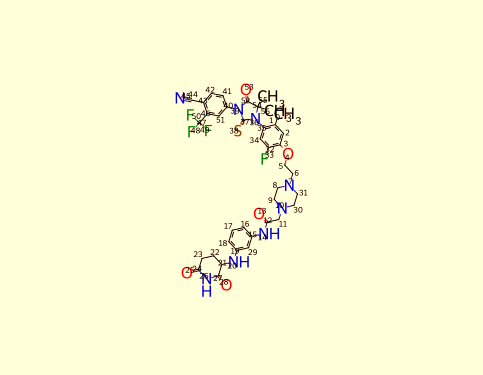 Cc1cc(OCCN2CCN(CC(=O)Nc3cccc(NC4CCC(=O)NC4=O)c3)CC2)c(F)cc1N1C(=S)N(c2ccc(C#N)c(C(F)(F)F)c2)C(=O)C1(C)C